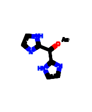 O=C(c1ncc[nH]1)c1ncc[nH]1.[Au]